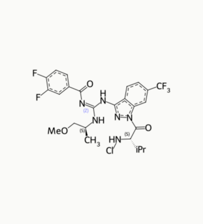 COC[C@H](C)N/C(=N/C(=O)c1ccc(F)c(F)c1)Nc1nn(C(=O)[C@@H](NCl)C(C)C)c2cc(C(F)(F)F)ccc12